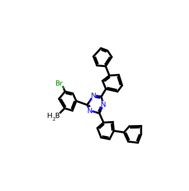 Bc1cc(Br)cc(-c2nc(-c3cccc(-c4ccccc4)c3)nc(-c3cccc(-c4ccccc4)c3)n2)c1